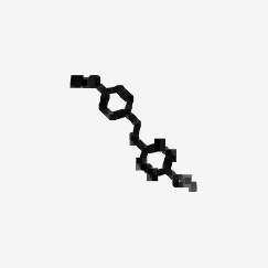 COc1ccc(CSc2nnc(C)nn2)cc1